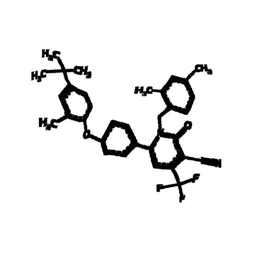 Cc1ccc(Cn2c(-c3ccc(Oc4ccc(C(C)(C)C)cc4C)cc3)cc(C(F)(F)F)c(C#N)c2=O)c(C)c1